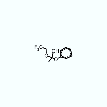 CC(O)(OCC(F)(F)F)Oc1ccccc1